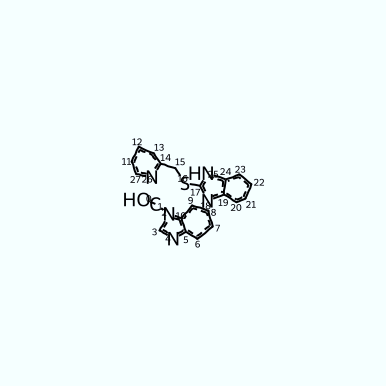 OCn1cnc2ccccc21.c1ccc(CSc2nc3ccccc3[nH]2)nc1